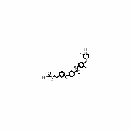 Cc1cc(N(C)C(=O)C2CCC(Oc3cccc(CCNC(=O)O)c3)CC2)ccc1CN1CCN[C@@H](C)C1